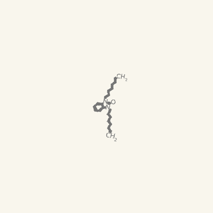 C=CCCCCCCn1c(=O)n(CCCCCCC=C)c2ccccc21